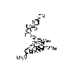 COC/C(=C/C(C)c1cc(NC(=O)c2ccc(C#N)cn2)ccc1F)OC(=N)N(Cc1ccc(OC)cc1OC)Cc1ccc(OC)cc1OC